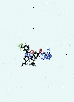 C=C(CC)C1CCC2(CC1)N=C(c1cccc(C(F)(F)F)c1)C(=O)N2[C@H](CCC(C)(C)C)c1ccc(C(=O)NCc2nnn[nH]2)cc1